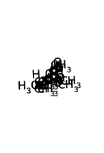 CC1(C)O[C@@H]2C3C(CC[C@]4(C)C(=O)CCC34)[C@@]3(C)CC[C@@H](O[Si](C)(C)C(C)(C)C)CC3[C@H]2O1